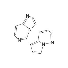 c1cc2nccn2cn1.c1cnn2cccc2c1